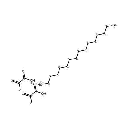 C=C(C)C(=O)O.C=C(C)C(=O)O.OCCCCCCCCCCCCCCO